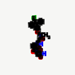 CN(CCOc1ccc(/C(=C(/CCCl)c2ccccc2)c2ccccc2)cc1)C(=O)CCCNc1cccc2c1C(=O)N(C1CCC(=O)NC1=O)C2=O